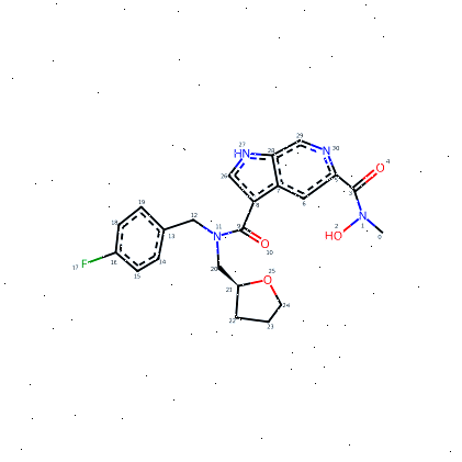 CN(O)C(=O)c1cc2c(C(=O)N(Cc3ccc(F)cc3)C[C@@H]3CCCO3)c[nH]c2cn1